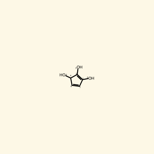 OC1=C(O)C(O)C=C1